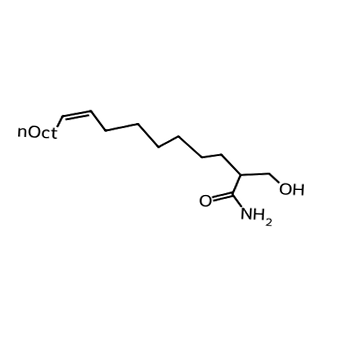 CCCCCCCC/C=C\CCCCCCC(CO)C(N)=O